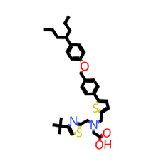 CCCC(CCC)c1ccc(OCc2ccc(-c3ccc(CN(CC(=O)O)Cc4nc(C(C)(C)C)cs4)s3)cc2)cc1